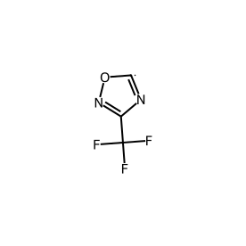 FC(F)(F)c1n[c]on1